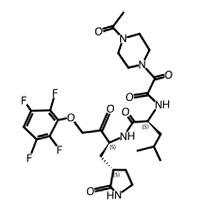 CC(=O)N1CCN(C(=O)C(=O)N[C@@H](CC(C)C)C(=O)N[C@@H](C[C@@H]2CCNC2=O)C(=O)COc2c(F)c(F)cc(F)c2F)CC1